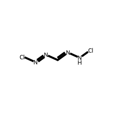 ClN=NC=NNCl